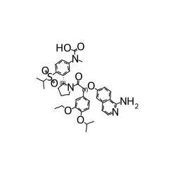 CCOc1cc([C@@H](Oc2ccc3c(N)nccc3c2)C(=O)N2CCC[C@@H]2c2cc(N(C)C(=O)O)ccc2S(=O)(=O)C(C)C)ccc1OC(C)C